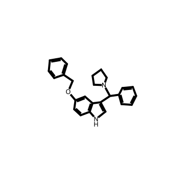 c1ccc(COc2ccc3[nH]cc(C(c4ccccc4)N4CCCC4)c3c2)cc1